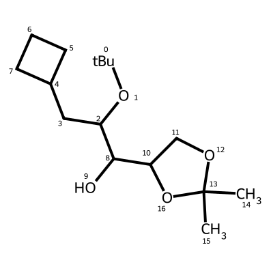 CC(C)(C)OC(CC1CCC1)C(O)C1COC(C)(C)O1